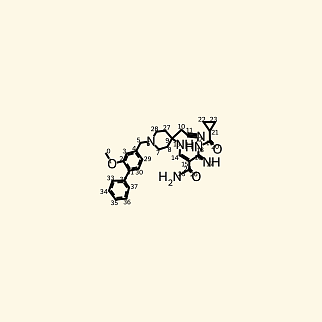 COc1cc(CN2CCC(CC#N)(N/C=C(\C(=N)NC(=O)C3CC3)C(N)=O)CC2)ccc1-c1ccccc1